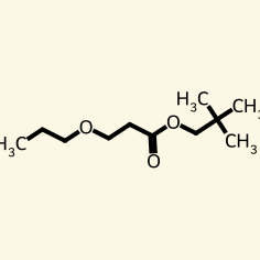 CCCOCCC(=O)OCC(C)(C)C